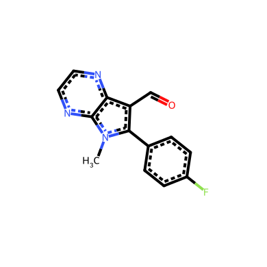 Cn1c(-c2ccc(F)cc2)c(C=O)c2nccnc21